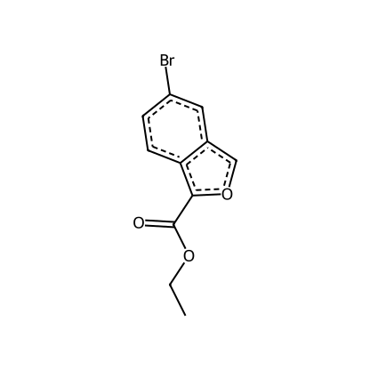 CCOC(=O)c1occ2cc(Br)ccc12